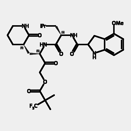 COc1cccc2c1CC(C(=O)N[C@@H](CC(C)C)C(=O)N[C@@H](C[C@@H]1CCCNC1=O)C(=O)COC(=O)C(C)(C)C(F)(F)F)N2